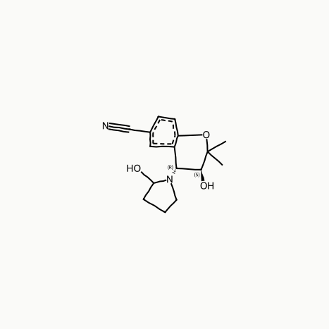 CC1(C)Oc2ccc(C#N)cc2[C@@H](N2CCCC2O)[C@@H]1O